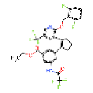 CCOC(=O)c1cc(NC(=O)C(F)(F)F)cc(C2=C(c3cc(C(F)(F)F)cnc3OCc3c(F)cccc3F)CCC2)c1